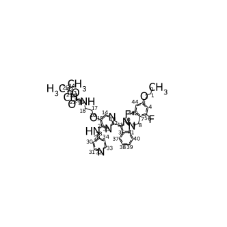 CCOc1cc(F)c(Cn2nc(-c3ncc(OCCNC(=O)OC(C)(C)C)c(Nc4ccncc4)n3)c3ccccc32)c(F)c1